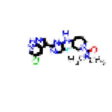 CN(C)C(=O)N1CCCC(Nc2nc(-c3c[nH]c4ncc(Cl)cc34)ncc2F)CC1